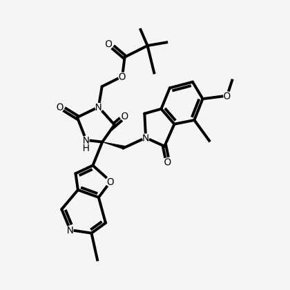 COc1ccc2c(c1C)C(=O)N(C[C@@]1(c3cc4cnc(C)cc4o3)NC(=O)N(COC(=O)C(C)(C)C)C1=O)C2